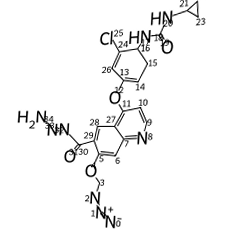 [N-]=[N+]=NCOc1cc2nccc(OC3=CCC(NC(=O)NC4CC4)C(Cl)=C3)c2cc1C(=O)N=NN